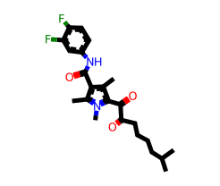 Cc1c(C(=O)Nc2ccc(F)c(F)c2)c(C)n(C)c1C(=O)C(=O)CCCCC(C)C